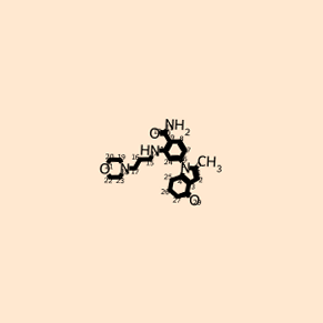 Cc1cc2c(n1-c1ccc(C(N)=O)c(NCCCN3CCOCC3)c1)CCCC2=O